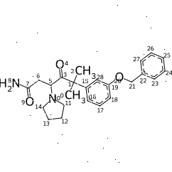 CC(C)(C(=O)C(CC(N)=O)N1CCCC1)c1cccc(OCc2ccccc2)c1